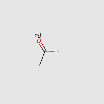 CC(C)=O.[Pd]